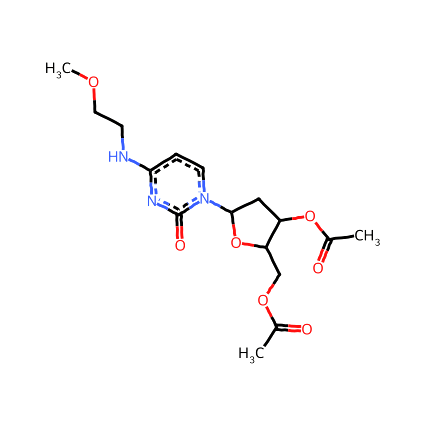 COCCNc1ccn(C2CC(OC(C)=O)C(COC(C)=O)O2)c(=O)n1